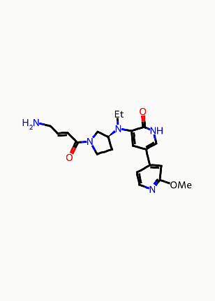 CCN(c1cc(-c2ccnc(OC)c2)c[nH]c1=O)[C@H]1CCN(C(=O)C=CCN)C1